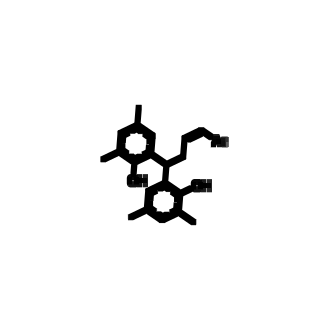 CC(=O)/C=C\CC(c1cc(C)cc(C)c1O)c1cc(C)cc(C)c1O